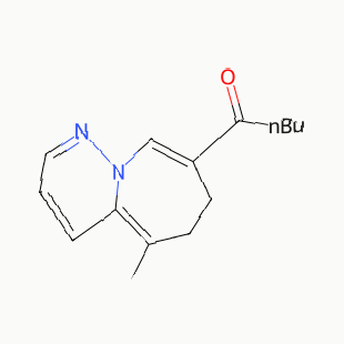 CCCCC(=O)C1=CN2N=CC=CC2=C(C)CC1